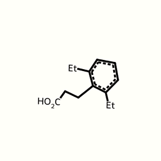 CCc1cccc(CC)c1CCC(=O)O